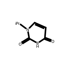 CC(C)N1C=CC(=O)BC1=O